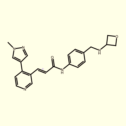 Cn1cc(-c2ccncc2/C=C/C(=O)Nc2ccc(CNC3COC3)cc2)cn1